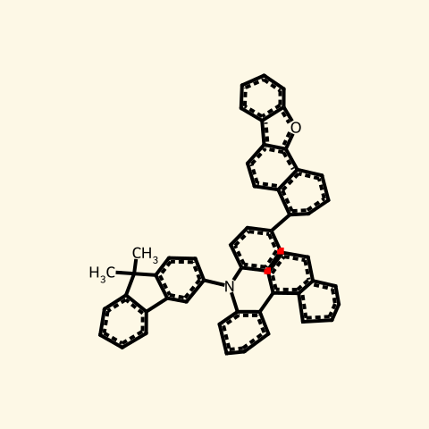 CC1(C)c2ccccc2-c2cc(N(c3ccc(-c4cccc5c4ccc4c6ccccc6oc54)cc3)c3ccccc3-c3cccc4ccccc34)ccc21